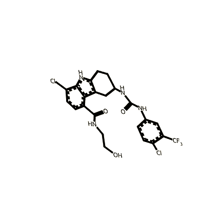 O=C(Nc1ccc(Cl)c(C(F)(F)F)c1)NC1CCc2[nH]c3c(Cl)ccc(C(=O)NCCO)c3c2C1